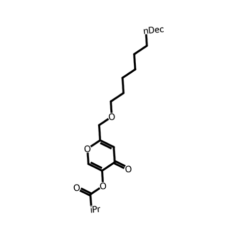 CCCCCCCCCCCCCCCCOCc1cc(=O)c(OC(=O)C(C)C)co1